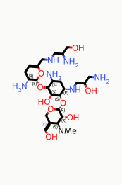 CN[C@H]1/C(=C\O)CO[C@H](O[C@H]2[C@H](NCC(O)CN)C[C@H](N)C(O[C@H]3OC(CNCC(N)CO)=CC[C@H]3N)[C@@H]2O)[C@@H]1O